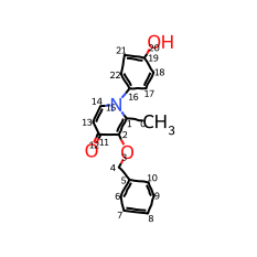 Cc1c(OCc2ccccc2)c(=O)ccn1-c1ccc(O)cc1